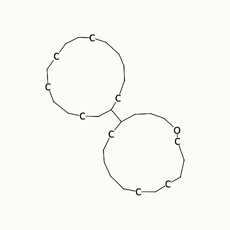 C1CCCCCCCC(C2CCCCCCCCCCCOCCC2)CCCCCCC1